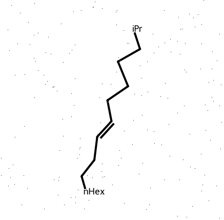 CCCCCCCCC=CCCCCC(C)C